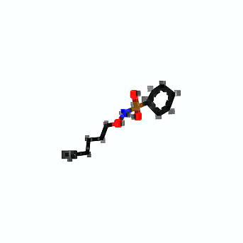 CCCCCO[N]S(=O)(=O)c1ccccc1